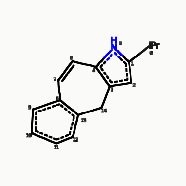 CC(C)c1cc2c([nH]1)C=Cc1ccccc1C2